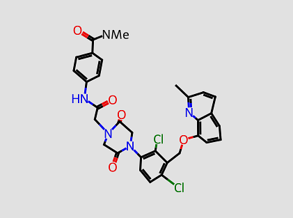 CNC(=O)c1ccc(NC(=O)CN2CC(=O)N(c3ccc(Cl)c(COc4cccc5ccc(C)nc45)c3Cl)CC2=O)cc1